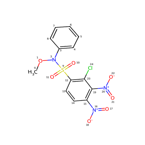 CON(c1ccccc1)S(=O)(=O)c1ccc([N+](=O)[O-])c([N+](=O)[O-])c1Cl